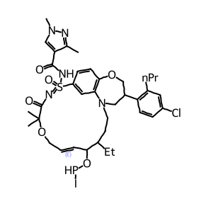 CCCc1cc(Cl)ccc1C1COc2ccc3cc2N(CCC(CC)C(OPI)/C=C/COC(C)(C)C(=O)N=S3(=O)NC(=O)c2cn(C)nc2C)C1